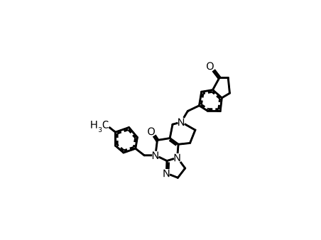 Cc1ccc(CN2C(=O)C3=C(CCN(Cc4ccc5c(c4)C(=O)CC5)C3)N3CCN=C23)cc1